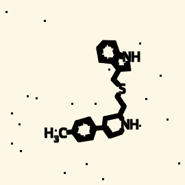 Cc1ccc(C2=CCNC(CCSCc3c[nH]c4ccccc34)C2)cc1